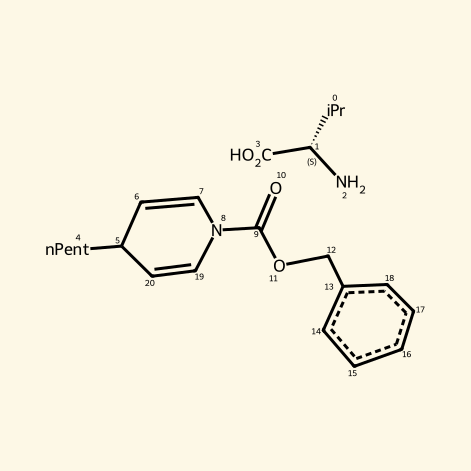 CC(C)[C@H](N)C(=O)O.CCCCCC1C=CN(C(=O)OCc2ccccc2)C=C1